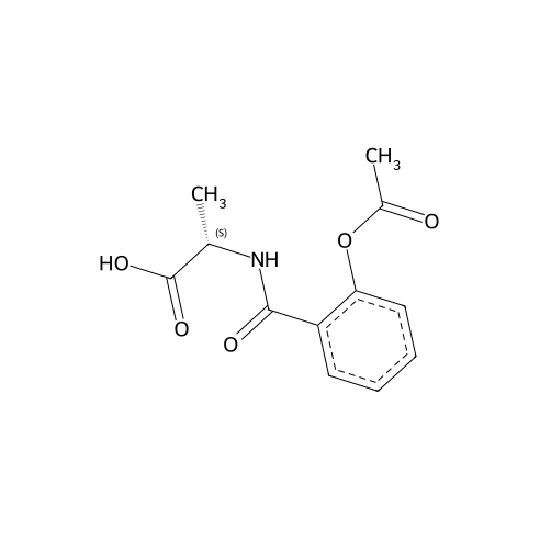 CC(=O)Oc1ccccc1C(=O)N[C@@H](C)C(=O)O